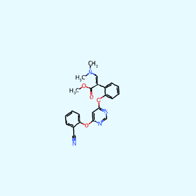 COC(=O)C(=CN(C)C)c1ccccc1Oc1cc(Oc2ccccc2C#N)ncn1